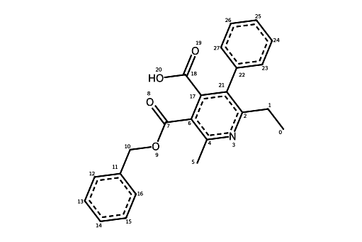 CCc1nc(C)c(C(=O)OCc2ccccc2)c(C(=O)O)c1-c1ccccc1